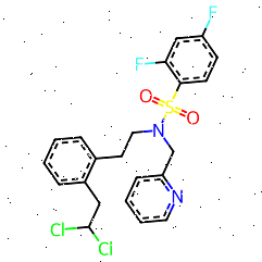 O=S(=O)(c1ccc(F)cc1F)N(CCc1ccccc1CC(Cl)Cl)Cc1ccccn1